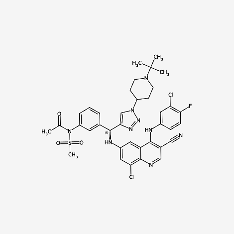 CC(=O)N(c1cccc([C@H](Nc2cc(Cl)c3ncc(C#N)c(Nc4ccc(F)c(Cl)c4)c3c2)c2cn(C3CCN(C(C)(C)C)CC3)nn2)c1)S(C)(=O)=O